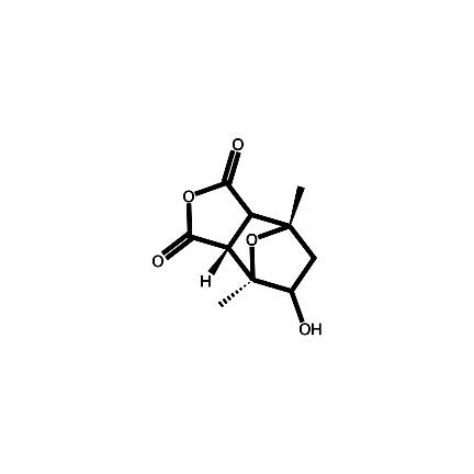 C[C@]12O[C@@](C)(CC1O)C1C(=O)OC(=O)[C@H]12